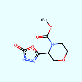 CC(C)(C)OC(=O)N1CCOC[C@H]1c1n[nH]c(=O)o1